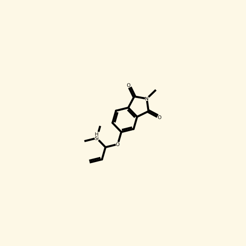 C=CC(Oc1ccc2c(c1)C(=O)N(C)C2=O)[SiH](C)C